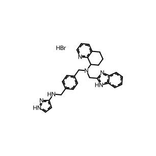 Br.c1cnc2c(c1)CCCC2N(Cc1ccc(CNc2cc[nH]n2)cc1)Cc1nc2ccccc2[nH]1